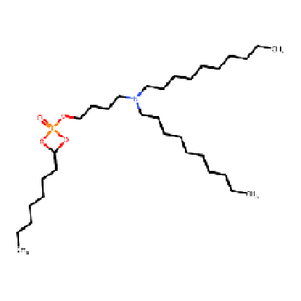 CCCCCCCCCCN(CCCCCCCCCC)CCCCOP1(=O)OC(CCCCCCC)O1